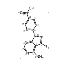 Nc1ncnc2c1c(I)nn2-c1ccc([N+](=O)[O-])cn1